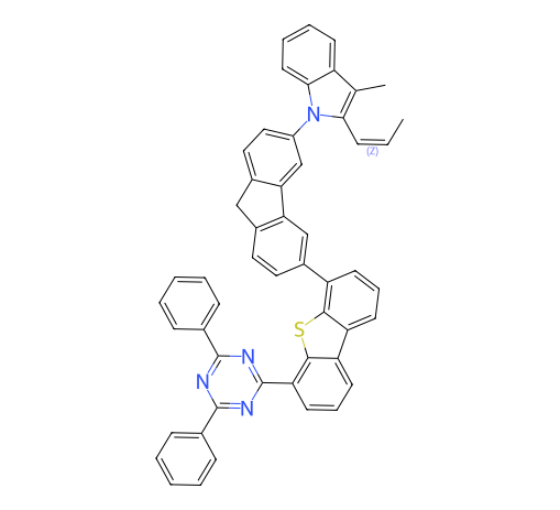 C/C=C\c1c(C)c2ccccc2n1-c1ccc2c(c1)-c1cc(-c3cccc4c3sc3c(-c5nc(-c6ccccc6)nc(-c6ccccc6)n5)cccc34)ccc1C2